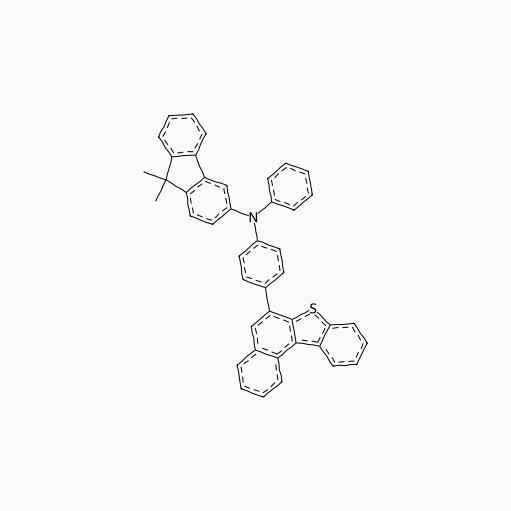 CC1(C)c2ccccc2-c2cc(N(c3ccccc3)c3ccc(-c4cc5ccccc5c5c4sc4ccccc45)cc3)ccc21